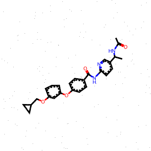 CC(=O)NC(C)c1ccc(NC(=O)c2ccc(Oc3cccc(OCC4CC4)c3)cc2)nc1